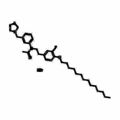 Br.CCCCCCCCCCCCCCOc1ccc(CCN(C(C)=O)c2cccc(CN3C=CSC3)c2)cc1F